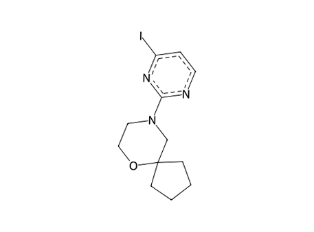 Ic1ccnc(N2CCOC3(CCCC3)C2)n1